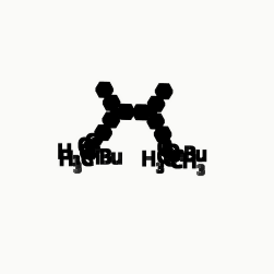 CCCCC(C)(C)OC(=O)OCc1ccc(-c2ccc(N(c3ccc(-c4ccccc4)cc3)c3ccc(-c4ccc(N(c5ccc(-c6ccccc6)cc5)c5ccc(-c6ccc(COC(=O)OC(C)(C)CCCC)cc6)cc5)cc4)cc3)cc2)cc1